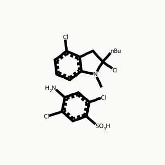 CCCCC1(Cl)Cc2c(Cl)cccc2N1C.Nc1cc(Cl)c(S(=O)(=O)O)cc1Cl